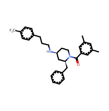 Cc1cc(C)cc(C(=O)N2CC[C@H](NCCCc3ccc(C(F)(F)F)cc3)C[C@@H]2Cc2ccccc2)c1